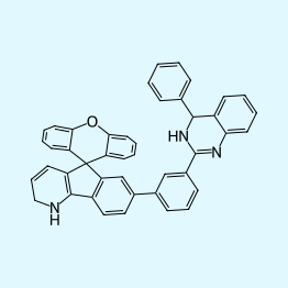 C1=CC2=C(NC1)c1ccc(-c3cccc(C4=Nc5ccccc5C(c5ccccc5)N4)c3)cc1C21c2ccccc2Oc2ccccc21